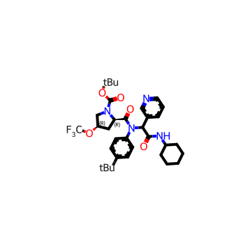 CC(C)(C)OC(=O)N1C[C@H](OC(F)(F)F)C[C@@H]1C(=O)N(c1ccc(C(C)(C)C)cc1)C(C(=O)NC1CCCCC1)c1cccnc1